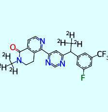 [2H]C([2H])([2H])C(c1cc(F)cc(C(F)(F)F)c1)c1cc(-c2nccc3c2CCN(C([2H])([2H])[2H])C3=O)ncn1